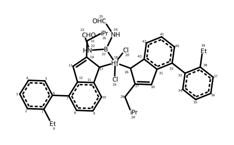 CCc1ccccc1-c1cccc2c1C=C(CC(C)C)[CH]2[Hf]([Cl])([Cl])([B](NC=O)NC=O)[CH]1C(CC(C)C)=Cc2c(-c3ccccc3CC)cccc21